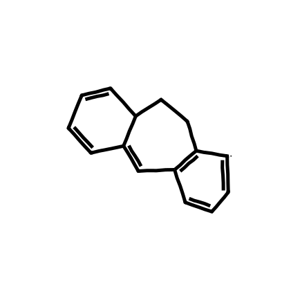 [c]1cccc2c1CCC1C=CC=CC1=C2